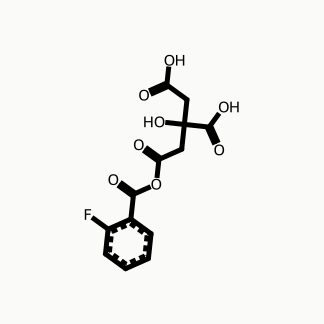 O=C(O)CC(O)(CC(=O)OC(=O)c1ccccc1F)C(=O)O